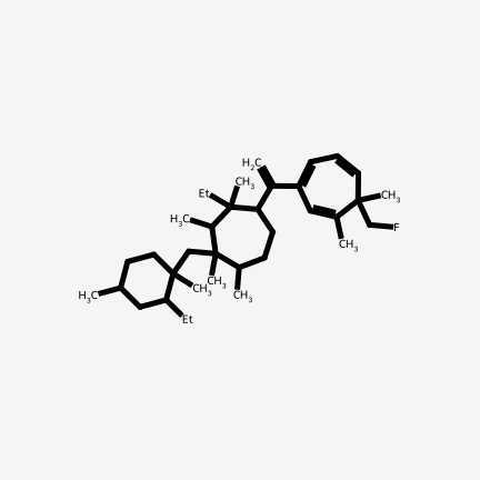 C=C(C1=CC=CC(C)(CF)C(C)=C1)C1CCC(C)C(C)(CC2(C)CCC(C)CC2CC)C(C)C1(C)CC